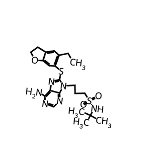 CCc1cc2c(cc1Sc1nc3c(N)ncnc3n1CCCS(=O)(=O)NC(C)(C)C)OCC2